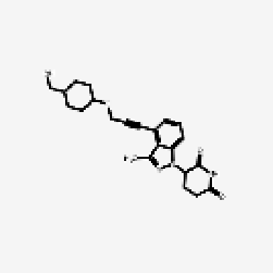 Cc1nn(C2CCC(=O)NC2=O)c2cccc(C#CCOC3CCC(CO)CC3)c12